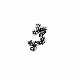 c1ccc(-c2nc(-c3ccccc3)nc(N3c4ccc(-c5ccc6sc7ccc(-c8ccc9c(c8)C8Oc%10ccccc%10C8N9c8ccccc8)cc7c6c5)cc4C4Oc5ccccc5C43)n2)cc1